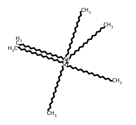 CCCCCCCCCCCCCCCCC[CH2][Sn]([CH2]CCCCCCCCCCCCCCCCC)([CH2]CCCCCCCCCCCCCCCCC)[S][Sn]([CH2]CCCCCCCCCCCCCCCCC)([CH2]CCCCCCCCCCCCCCCCC)[CH2]CCCCCCCCCCCCCCCCC